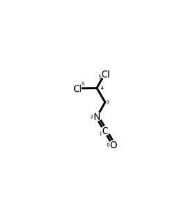 O=C=NCC(Cl)Cl